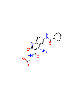 Cn1c(=O)c(C(=O)NCC(=O)O)c(N)c2cc(NC(=O)c3ccccc3)ccc21